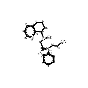 CCN(Cc1nc2ccccc2n1CCC#N)C1CCCc2cccnc21